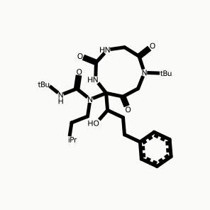 CC(C)CCN(C(=O)NC(C)(C)C)C1(C(O)CCc2ccccc2)NC(=O)NCC(=O)N(C(C)(C)C)CC1=O